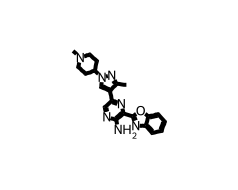 Cc1nn(C2CCN(C)CC2)cc1-c1cnc(N)c(-c2nc3ccccc3o2)n1